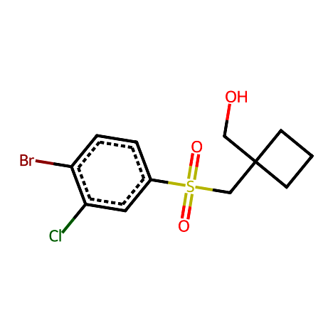 O=S(=O)(CC1(CO)CCC1)c1ccc(Br)c(Cl)c1